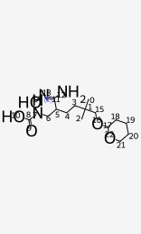 CC(C)(CCC(CNC(=O)O)/C(N)=N\O)COC1CCCCO1